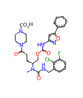 CN(C(=O)NCc1cccc(F)c1Cl)[C@@H](CCC(=O)N1CCN(C(=O)O)CC1)COC(=O)Nc1cc(-c2ccccc2)on1